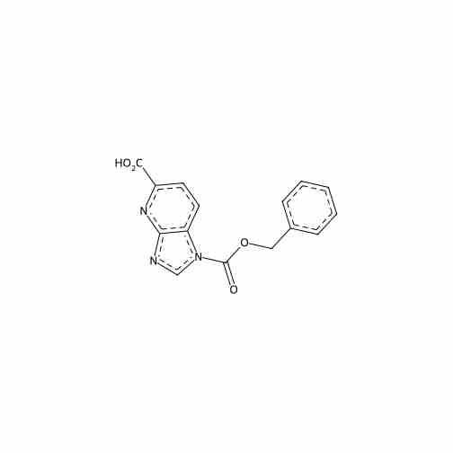 O=C(O)c1ccc2c(ncn2C(=O)OCc2ccccc2)n1